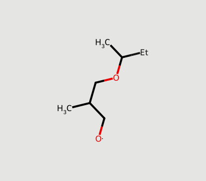 CCC(C)OCC(C)C[O]